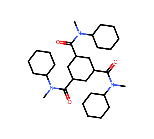 CN(C(=O)C1CC(C(=O)N(C)C2CCCCC2)CC(C(=O)N(C)C2CCCCC2)C1)C1CCCCC1